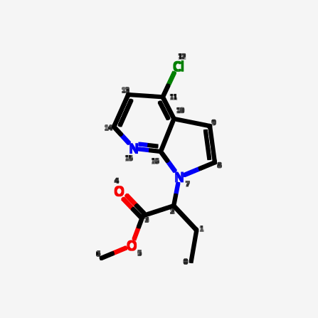 CCC(C(=O)OC)n1ccc2c(Cl)ccnc21